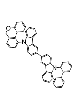 c1ccc(-c2ccccc2-n2c3ccccc3c3cc(-c4ccc5c(c4)c4ccccc4n5-c4cccc5c4-c4ccccc4OC5)ccc32)cc1